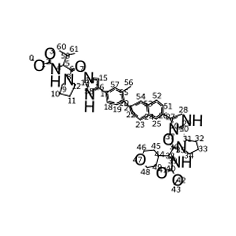 COC(=O)N[C@H](C(=O)N1CCC[C@H]1c1ncc(-c2ccc(-c3ccc4cc(-c5c[nH]c([C@@H]6CCCN6C(=O)[C@@H](NC(=O)OC)C6CCOCC6)n5)ccc4c3)c(C)c2)[nH]1)C(C)C